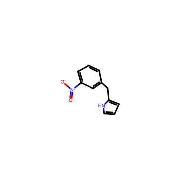 O=[N+]([O-])c1cccc(Cc2ccc[nH]2)c1